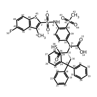 Cc1c(S(=O)(=O)Nc2ccc(N(C(=O)O)[C@H](CC(c3ccccc3)(c3ccccc3)c3ccccc3)C(=O)S)cc2S(C)(=O)=O)sc2ccc(F)cc12